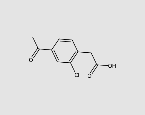 CC(=O)c1ccc(CC(=O)O)c(Cl)c1